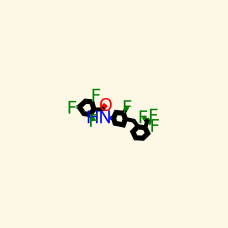 O=C(Nc1ccc(Cc2ccccc2C(F)(F)F)c(F)c1)c1c(F)cc(F)cc1F